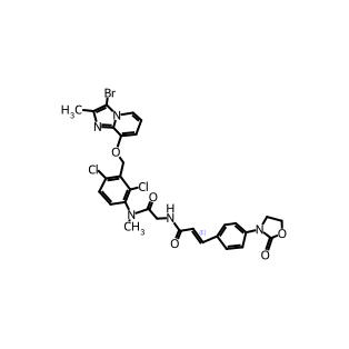 Cc1nc2c(OCc3c(Cl)ccc(N(C)C(=O)CNC(=O)/C=C/c4ccc(N5CCOC5=O)cc4)c3Cl)cccn2c1Br